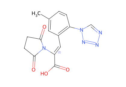 Cc1ccc(-n2cnnn2)c(/C=C(/C(=O)O)N2C(=O)CCC2=O)c1